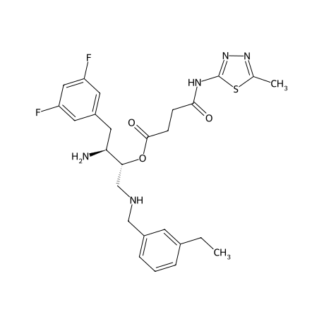 CCc1cccc(CNC[C@@H](OC(=O)CCC(=O)Nc2nnc(C)s2)[C@@H](N)Cc2cc(F)cc(F)c2)c1